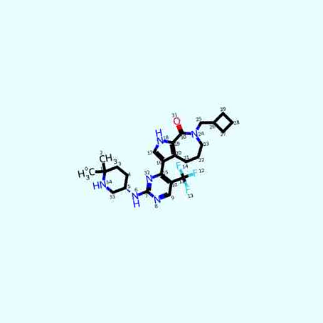 CC1(C)CC[C@H](Nc2ncc(C(F)(F)F)c(-c3c[nH]c4c3CCCN(CC3CCC3)C4=O)n2)CN1